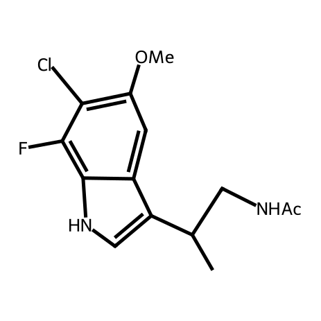 COc1cc2c(C(C)CNC(C)=O)c[nH]c2c(F)c1Cl